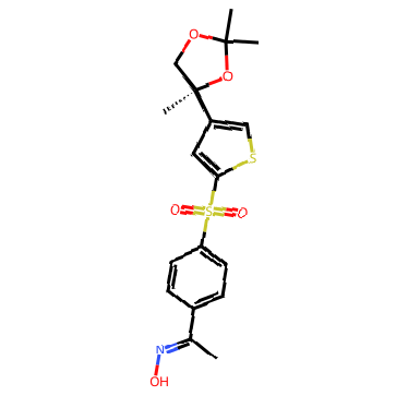 C/C(=N\O)c1ccc(S(=O)(=O)c2cc([C@@]3(C)COC(C)(C)O3)cs2)cc1